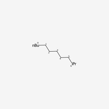 CCCCCCCC[CH]C(C)C